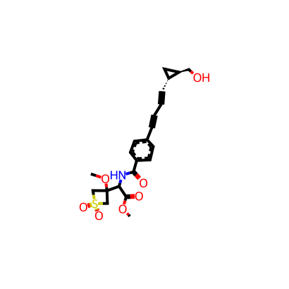 COC(=O)C(NC(=O)c1ccc(C#CC#C[C@@H]2C[C@H]2CO)cc1)C1(OC)CS(=O)(=O)C1